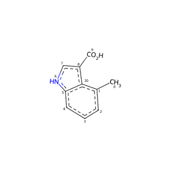 Cc1cccc2[nH]cc(C(=O)O)c12